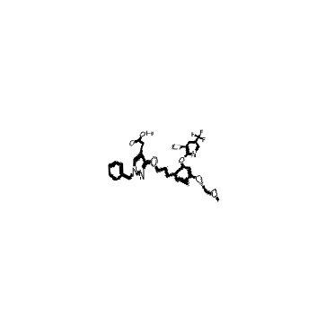 COCOc1ccc(CCCOc2nn(Cc3ccccc3)cc2CC(=O)O)c(Oc2ncc(C(F)(F)F)cc2Cl)c1